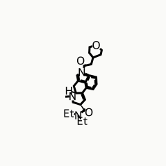 CCN(CC)C(=O)[C@@H]1C=C2c3cccc4c3c(cn4C(=O)CC3CCOCC3)C[C@H]2N(C)C1